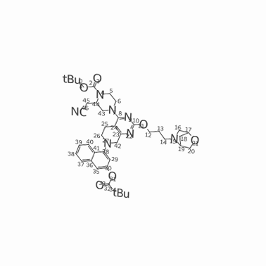 CC(C)(C)OC(=O)N1CCN(c2nc(OCCCN3CC4CC3CO4)nc3c2CCN(c2cc(OC(=O)C(C)(C)C)cc4ccccc24)C3)CC1CC#N